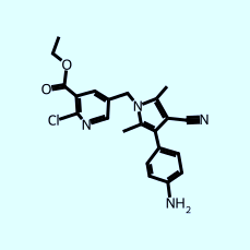 CCOC(=O)c1cc(Cn2c(C)c(C#N)c(-c3ccc(N)cc3)c2C)cnc1Cl